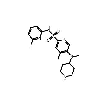 Cc1cc(S(=O)(=O)Nc2cccc(F)n2)ncc1N(C)C1CCNCC1